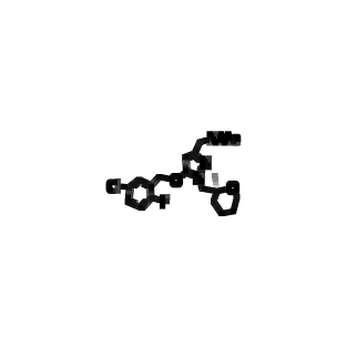 CNCc1cc(OCc2cc(Cl)ccc2F)n(C[C@]2(C)CCCCO2)n1